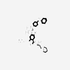 COc1cc(NC(=O)Nc2ccc(Oc3ccccc3)cc2)c(F)cc1C(=O)NCCCN1CCCCC1